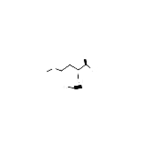 C#CS.CSCC[C@H](N)C(=O)O